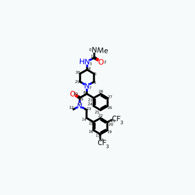 CNC(=O)NC1CCN(C(C(=O)N(C)CCc2cc(C(F)(F)F)cc(C(F)(F)F)c2)c2ccccc2)CC1